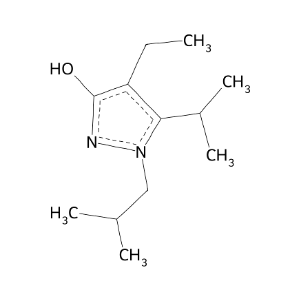 CCc1c(O)nn(CC(C)C)c1C(C)C